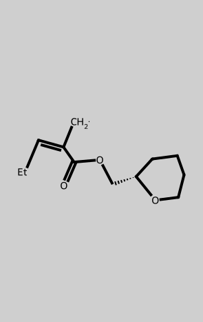 [CH2]/C(=C/CC)C(=O)OC[C@@H]1CCCCO1